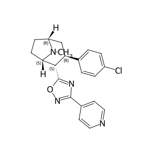 CN1[C@@H]2CC[C@H]1[C@@H](c1nc(-c3ccncc3)no1)[C@H](c1ccc(Cl)cc1)C2